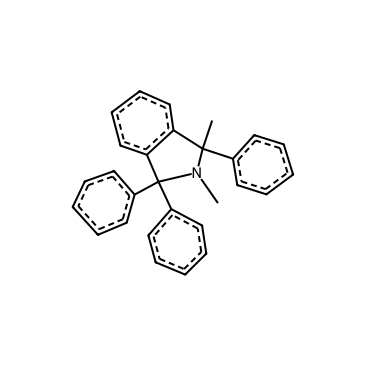 CN1C(C)(c2ccccc2)c2ccccc2C1(c1ccccc1)c1ccccc1